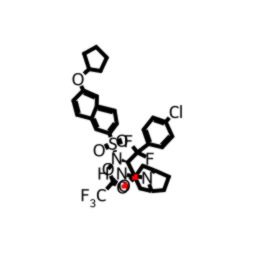 NC1CC2CCC(C1)N2C(=O)[C@@H](N(OC(=O)C(F)(F)F)S(=O)(=O)c1ccc2cc(OC3CCCC3)ccc2c1)C(F)(F)c1ccc(Cl)cc1